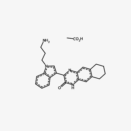 CC(=O)O.NCCCn1cc(-c2nc3cc4c(cc3[nH]c2=O)CCCC4)c2ccccc21